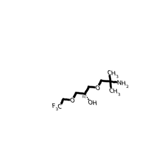 CC(C)(N)COC[C@H](O)COCC(F)(F)F